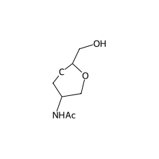 CC(=O)NC1CCC(CO)OC1